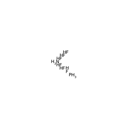 F.F.F.F.F.F.N.P